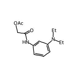 CCN(CC)c1cccc(NC(=O)COC(C)=O)c1